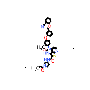 C=CC(=O)N1CCC(NC(=O)c2sc3nccc4c3c2NC(=O)N4c2ccc(Oc3cccc(COc4ccccc4C#N)c3)cc2C)C1